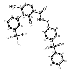 Cc1ccc(C(=O)NCc2ccc(S(=O)(=O)c3ccncc3)cc2)c(=O)n1-c1cccc(C(F)(F)F)c1